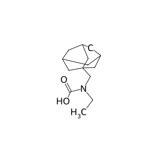 CCN(CC12CC3CC(CC(C3)C1)C2)C(=O)O